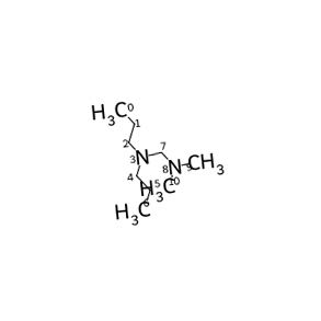 CCCN(CCC)CN(C)C